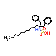 CCCCCCCCCCCC(Cc1ccccc1)(Cc1ccccc1)NS(=O)(=O)O